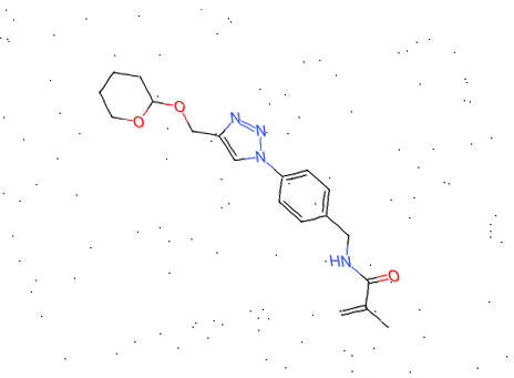 C=C(C)C(=O)NCc1ccc(-n2cc(COC3CCCCO3)nn2)cc1